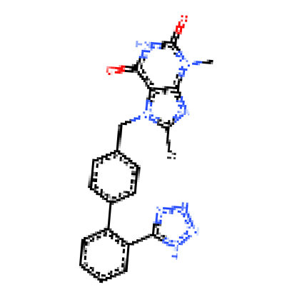 CCc1nc2c(c(=O)[nH]c(=O)n2C)n1Cc1ccc(-c2ccccc2-c2nnn[nH]2)cc1